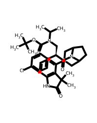 CC(C)N(C[C@@H](C(=O)N1C2CCC1CN(c1ncnc3c1C(C)(C)C(=O)N3)C2)c1ccc(Cl)cc1)C(=O)OC(C)(C)C